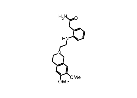 COc1cc2c(cc1OC)CN(CCNc1ccccc1CC(N)=O)CC2